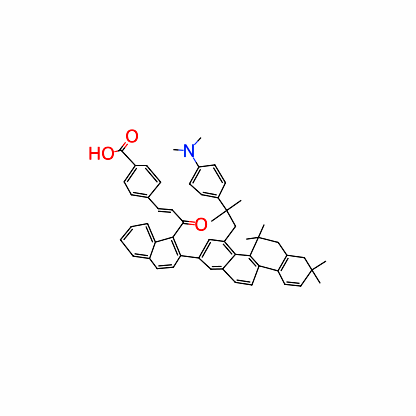 CN(C)c1ccc(C(C)(C)Cc2cc(-c3ccc4ccccc4c3C(=O)C=Cc3ccc(C(=O)O)cc3)cc3ccc4c(c23)C(C)(C)CC2=C4C=CC(C)(C)C2)cc1